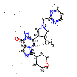 C[C@@H]1CN(Cc2ncccn2)C=C1c1cn2c(C3CCOCC3)ncc2c(=O)[nH]1